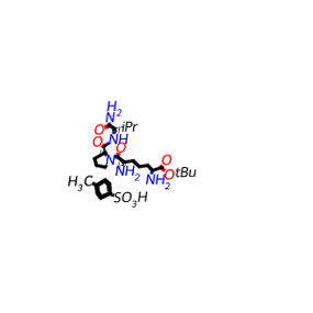 CC(C)[C@H](NC(=O)[C@@H]1CCCN1C(=O)[C@@H](N)CCCC(N)C(=O)OC(C)(C)C)C(N)=O.Cc1ccc(S(=O)(=O)O)cc1